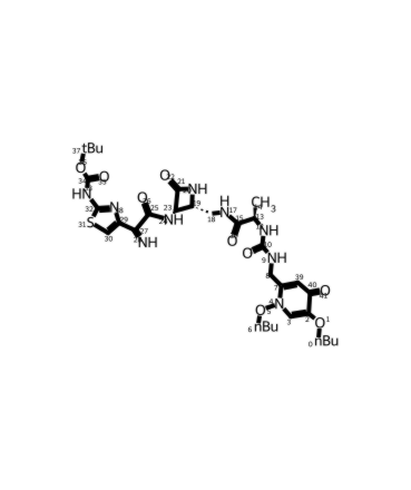 CCCCOc1cn(OCCCC)c(CNC(=O)N[C@H](C)C(=O)NC[C@H]2NC(=O)[C@H]2NC(=O)C(=N)c2csc(NC(=O)OC(C)(C)C)n2)cc1=O